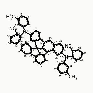 Cc1cccc(N(c2ccc3c(c2)C2(c4ccccc4-c4ccccc42)c2cc4cc(N(c5cccc(C)c5)c5ccccc5C#N)ccc4cc2-3)c2ccccc2C#N)c1